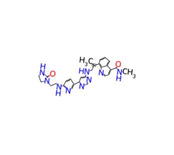 CNC(=O)c1ccnc2c([C@H](C)CNc3cc(-c4ccc(NCCN5CCNC5=O)nc4)ncn3)cccc12